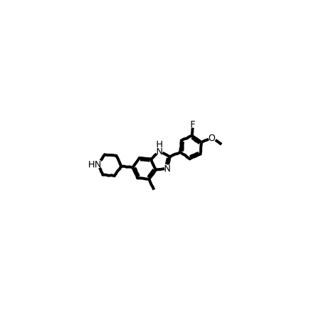 COc1ccc(-c2nc3c(C)cc(C4CCNCC4)cc3[nH]2)cc1F